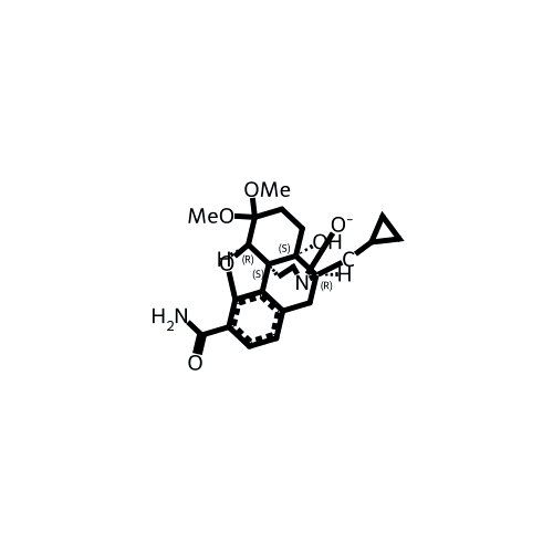 COC1(OC)CC[C@@]2(O)[C@H]3Cc4ccc(C(N)=O)c5c4[C@@]2(CC[N+]3([O-])CC2CC2)[C@H]1O5